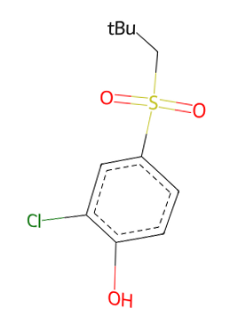 CC(C)(C)CS(=O)(=O)c1ccc(O)c(Cl)c1